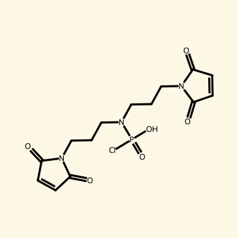 O=C1C=CC(=O)N1CCCN(CCCN1C(=O)C=CC1=O)P(=O)(O)Cl